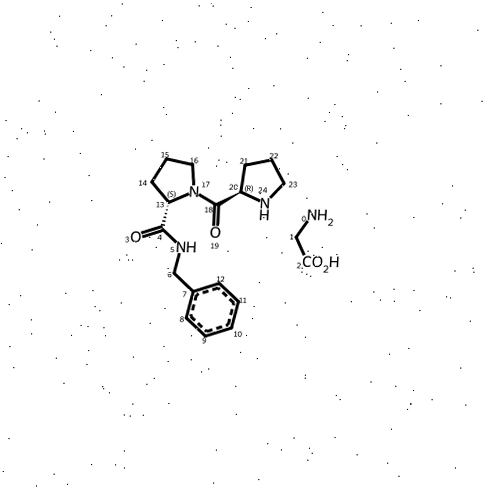 NCC(=O)O.O=C(NCc1ccccc1)[C@@H]1CCCN1C(=O)[C@H]1CCCN1